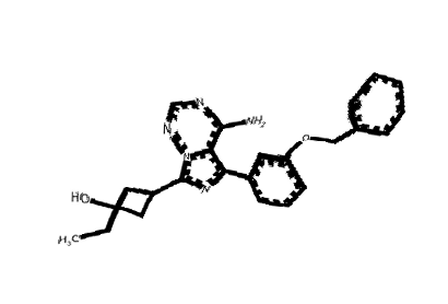 CCC1(O)CC(c2nc(-c3cccc(OCc4ccccc4)c3)c3c(N)ncnn23)C1